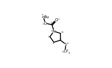 CCCCOC(=O)N1CCC(SC(F)(F)F)C1